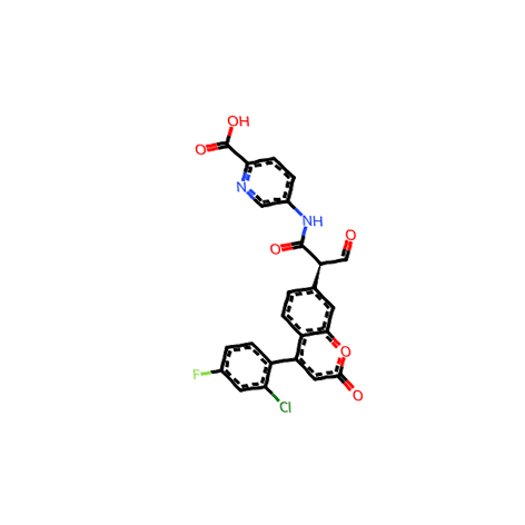 O=C[C@H](C(=O)Nc1ccc(C(=O)O)nc1)c1ccc2c(-c3ccc(F)cc3Cl)cc(=O)oc2c1